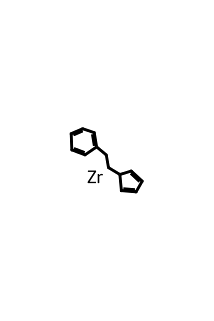 C1=CC(CCc2ccccc2)C=C1.[Zr]